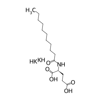 CCCCCCCCCCC(=O)N[C@@H](CCC(=O)O)C(=O)O.[KH].[KH]